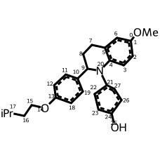 COc1ccc2c(c1)CCC(c1ccc(OCCC(C)C)cc1)N2c1ccc(O)cc1